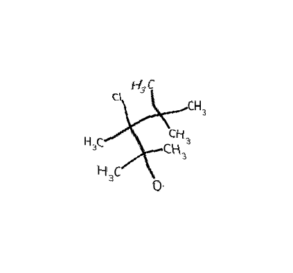 CC(C)(C)C(C)(Cl)C(C)(C)[O]